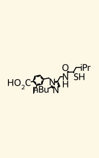 CCCCc1ncc(CNC(=O)C(S)CC(C)C)n1Cc1ccc(C(=O)O)c(F)c1